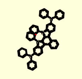 C1=CCCC(N(c2ccccc2)c2ccc3c4c5ccccc5c5c6ccc(N(c7ccccc7)c7ccccc7)cc6n(-c6ccccc6)c5c4n(-c4ccccc4)c3c2)=C1